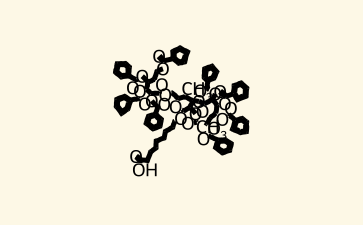 CC(=O)OC1C(OCCCCCCCCC(=O)O)OC(COC2OC(COC(=O)c3ccccc3)C(OC(=O)c3ccccc3)C(OC(=O)c3ccccc3)C2OC(=O)c2ccccc2)C(C)C1OC1OC(COC(=O)c2ccccc2)C(OC(=O)c2ccccc2)C(OC(=O)c2ccccc2)C1OC(=O)c1ccccc1